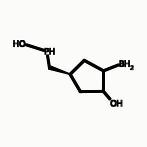 BC1C[C@H](CPO)CC1O